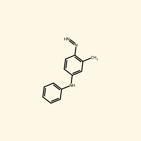 Cc1cc(Nc2ccccc2)ccc1N=N